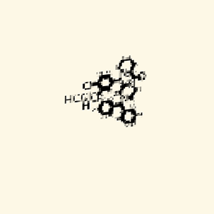 Cl.Cl.O=C(C1CCCCN1Cc1ccc(Cl)c(Cl)c1)N1CCN(C(c2ccccc2)c2ccccc2)CC1